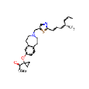 C\C=C/C(=C\C=C\c1ncc(CN2CCc3ccc(OC4(C(=O)OC)CC4)cc3CC2)s1)C(F)(F)F